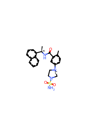 Cc1ccc(N2CCN(S(N)(=O)=O)CC2)cc1C(=O)N[C@H](C)c1cccc2ccccc12